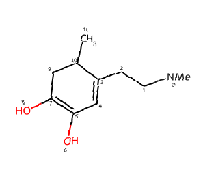 CNCCC1=CC(O)=C(O)CC1C